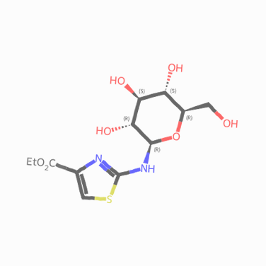 CCOC(=O)c1csc(N[C@@H]2O[C@H](CO)[C@@H](O)[C@H](O)[C@H]2O)n1